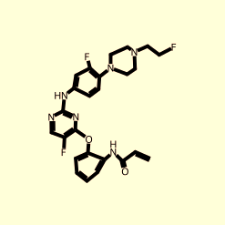 C=CC(=O)Nc1ccccc1Oc1nc(Nc2ccc(N3CCN(CCF)CC3)c(F)c2)ncc1F